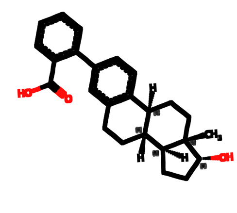 C[C@]12CC[C@@H]3c4ccc(-c5ccccc5C(=O)O)cc4CC[C@H]3[C@@H]1CC[C@H]2O